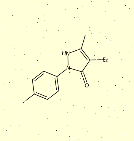 CCc1c(C)[nH]n(-c2ccc(C)cc2)c1=O